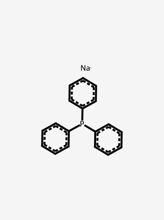 [Na].c1ccc(P(c2ccccc2)c2ccccc2)cc1